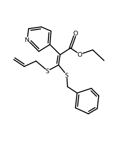 C=CCSC(SCc1ccccc1)=C(C(=O)OCC)c1cccnc1